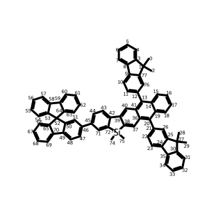 CC1(C)c2ccccc2-c2ccc(-c3c4ccccc4c(-c4ccc5c(c4)C(C)(C)c4ccccc4-5)c4cc5c(cc34)-c3ccc(-c4ccc6c(c4)C4(c7ccccc7-c7ccccc74)c4ccccc4-6)cc3[Si]5(C)C)cc21